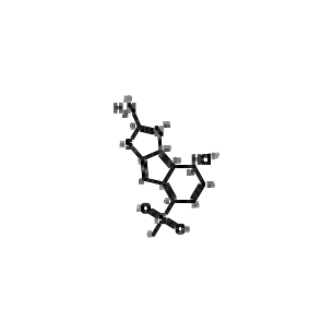 CS(=O)(=O)C1=C2C=c3sc(N)nc3=C2CC=C1.Cl